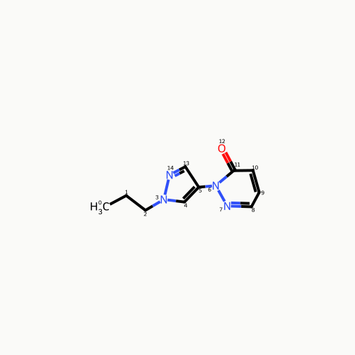 CCCn1cc(-n2ncccc2=O)cn1